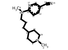 CN1CCC(CCCN(C)c2ccc(C#N)cn2)CC1